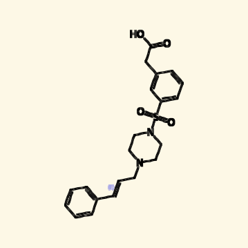 O=C(O)Cc1cccc(S(=O)(=O)N2CCN(C/C=C/c3ccccc3)CC2)c1